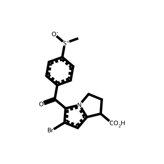 C[S+]([O-])c1ccc(C(=O)c2c(Br)cc3n2CCC3C(=O)O)cc1